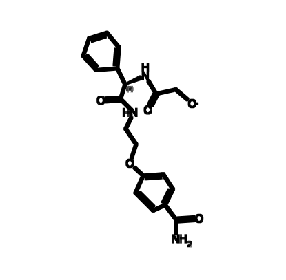 NC(=O)c1ccc(OCCNC(=O)[C@H](NC(=O)C[O])c2ccccc2)cc1